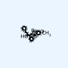 COc1ccc(S(=O)(=O)n2cc(C(O)CCN3CCCCC3)c3ccccc32)c(Br)c1